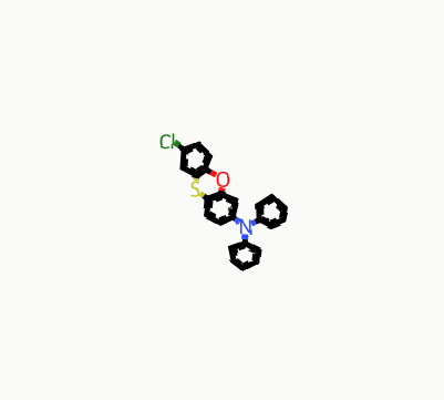 Clc1ccc2c(c1)Sc1ccc(N(c3ccccc3)c3ccccc3)cc1O2